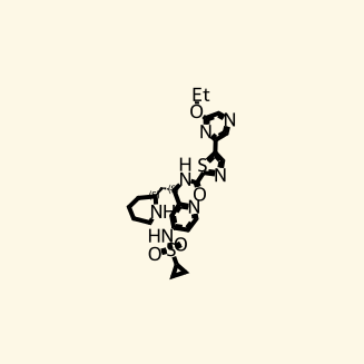 CCOc1cncc(-c2cnc(C(=O)N[C@@H](C[C@@H]3CCCCN3)c3cc(NS(=O)(=O)C4CC4)ccn3)s2)n1